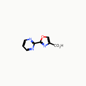 O=C(O)c1coc(-c2ncccn2)n1